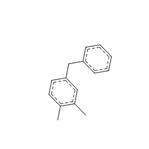 Cc1ccc(Cc2ccccc2)cc1C